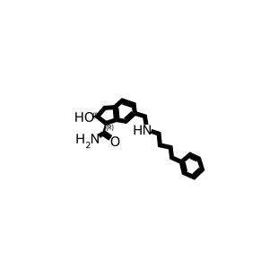 NC(=O)[C@@H]1c2cc(CNCCCCc3ccccc3)ccc2C[C@H]1O